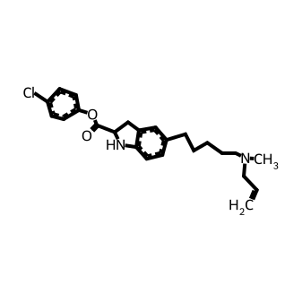 C=CCN(C)CCCCCc1ccc2c(c1)CC(C(=O)Oc1ccc(Cl)cc1)N2